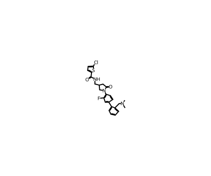 CN(C)Cc1ccccc1-c1ccc(N2CC(CNC(=O)c3ccc(Cl)s3)CC2=O)c(F)c1